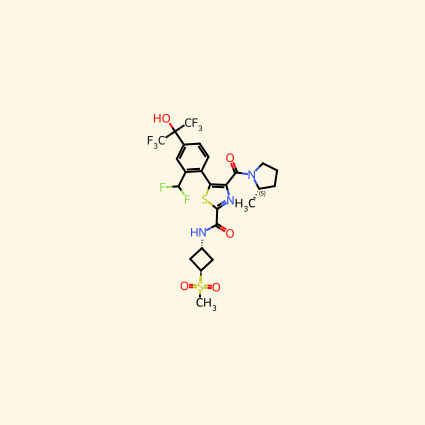 C[C@H]1CCCN1C(=O)c1nc(C(=O)N[C@H]2C[C@H](S(C)(=O)=O)C2)sc1-c1ccc(C(O)(C(F)(F)F)C(F)(F)F)cc1C(F)F